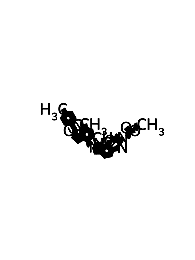 CCOC(=O)CN1CC(Oc2c(C#N)ccc3cn(Cc4c(C)cc(C)c5c4ccn5S(=O)(=O)c4ccc(C)cc4)nc23)C1